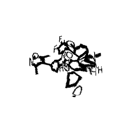 CO[C@H]1CC[C@H](n2c([C@]34OC5(c6ccc(F)c(F)c6)C6=C(C=CC5O)C[C@@H]5[C@H](C=C[C@@H]3O)[C@@]64CCN5C)nc3cc(-c4c(C)noc4C)ccc32)CC1